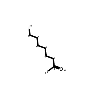 O=C(I)CCCCCCI